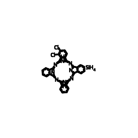 Clc1ccc2c3nc4nc(nc5[nH]c(nc6nc(nc([nH]3)c2c1Cl)-c1ccccc1-6)c1ccccc51)-c1ccccc1-4.[SiH4]